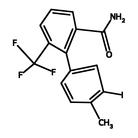 Cc1ccc(-c2c(C(N)=O)cccc2C(F)(F)F)cc1I